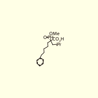 CO[PH](=O)C(CCCCCc1ccccc1)(CC(C)C)C(=O)O